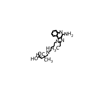 CCc1nc2c(N)nc3ccccc3c2n1CCCCNCC(C)(C)CC(=O)O